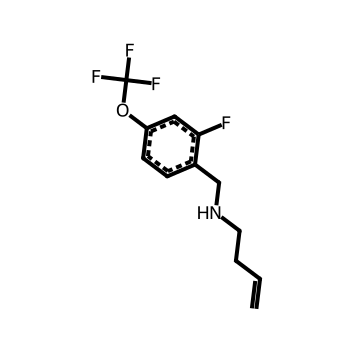 C=CCCNCc1ccc(OC(F)(F)F)cc1F